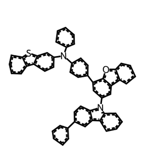 c1ccc(-c2ccc3c(c2)c2ccccc2n3-c2cc(-c3ccc(N(c4ccccc4)c4ccc5c(c4)sc4ccccc45)cc3)c3oc4ccccc4c3c2)cc1